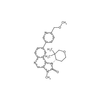 COCc1ccc(-c2ccc3ncc4c(c3c2)n([C@H]2CCOCC2(C)C)c(=O)n4C)cn1